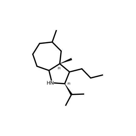 CCCC1[C@@H](C(C)C)NC2CCCC(C)C[C@@]21C